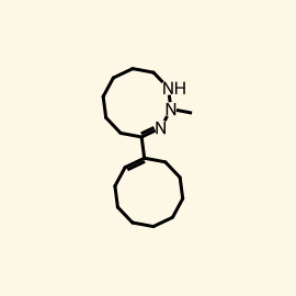 CN1N=C(C2=CCCCCCCCC2)CCCCCCN1